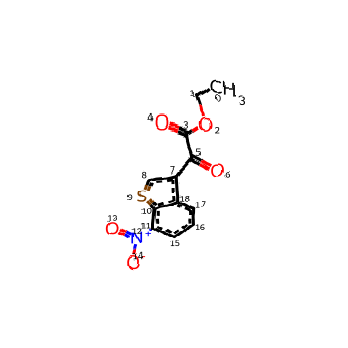 CCOC(=O)C(=O)c1csc2c([N+](=O)[O-])cccc12